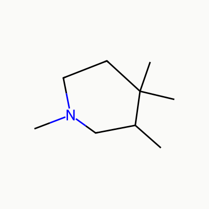 CC1CN(C)CCC1(C)C